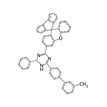 Cc1cccc(-c2ccc(C3=NC(c4ccc5c(c4)Oc4ccccc4C54c5ccccc5-c5ccccc54)=NC(c4ccccc4)N3)cc2)c1